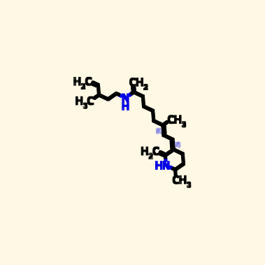 C=CC(C)CCNC(=C)CCCC/C(C)=C/C=C1/CCC(C)NC1=C